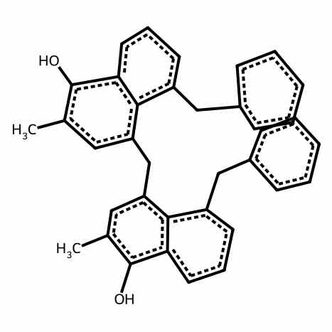 Cc1cc(Cc2cc(C)c(O)c3cccc(Cc4ccccc4)c23)c2c(Cc3ccccc3)cccc2c1O